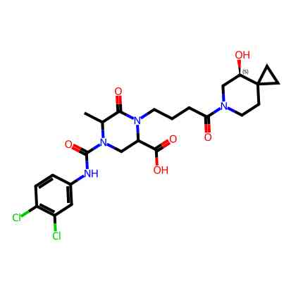 CC1C(=O)N(CCCC(=O)N2CCC3(CC3)[C@H](O)C2)C(C(=O)O)CN1C(=O)Nc1ccc(Cl)c(Cl)c1